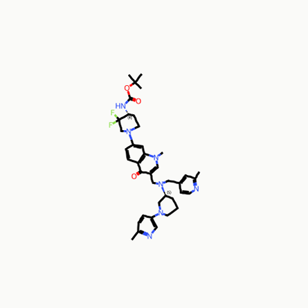 Cc1ccc(N2CCC[C@H](N(Cc3ccnc(C)c3)Cc3cn(C)c4cc(N5CC[C@@H](NC(=O)OC(C)(C)C)C(F)(F)C5)ccc4c3=O)C2)cn1